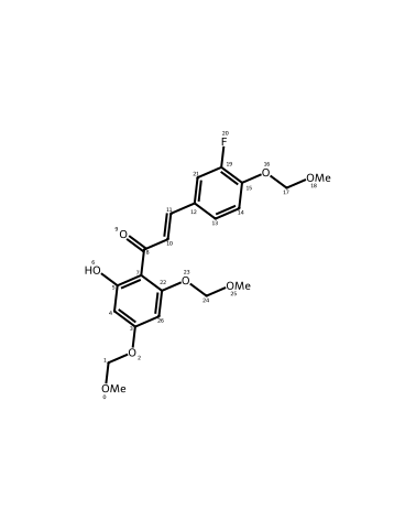 COCOc1cc(O)c(C(=O)C=Cc2ccc(OCOC)c(F)c2)c(OCOC)c1